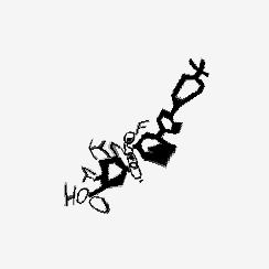 COc1cc(C(=O)O)c(F)cc1NS(=O)(=O)c1cccc(-c2ccc(C3CCC(C(C)(C)C)CC3)cc2)c1F